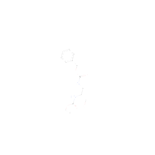 CC(C)(C)OC(=O)N[C@@H](CO)CNC(=O)OCc1ccccc1